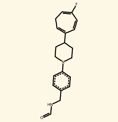 O=CNCc1ccc(N2CCC(C3=CCC=C(F)C=C3)CC2)cc1